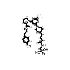 N#Cc1ccc(CCNC(=O)C2CCCN2c2cc(N3CCC(CCCC(=O)NCP(=O)(O)O)CC3)nc(C(F)(F)F)n2)cc1